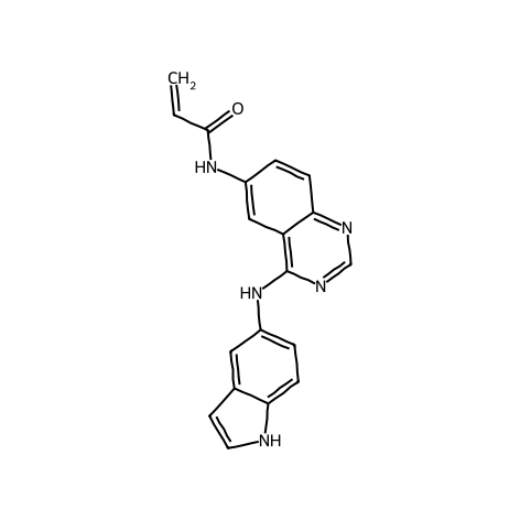 C=CC(=O)Nc1ccc2ncnc(Nc3ccc4[nH]ccc4c3)c2c1